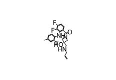 C=CCNCC1(O)CN(C(=O)c2ccc(F)c(F)c2Nc2ccc(C)cc2F)C1